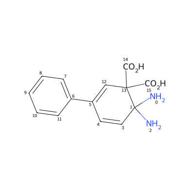 NC1(N)C=CC(c2ccccc2)=CC1(C(=O)O)C(=O)O